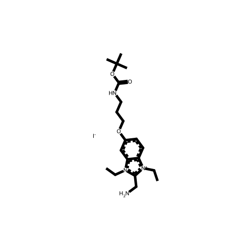 CCn1c(CN)[n+](CC)c2ccc(OCCCNC(=O)OC(C)(C)C)cc21.[I-]